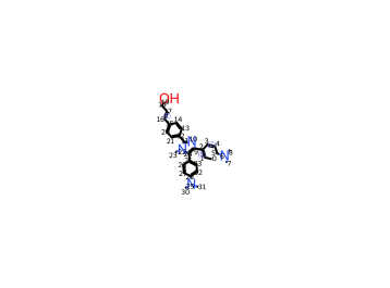 C/C=C(\C=C/CN(C)C)c1nc(-c2ccc(/C=C/CO)cc2)n(C)c1-c1ccc(N(C)C)cc1